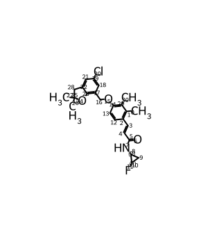 Cc1c(C=CC(=O)N[C@@H]2C[C@H]2F)ccc(OCc2cc(Cl)cc3c2OC(C)(C)C3)c1C